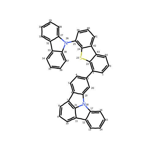 c1cc(-c2ccc3c4cccc5c6ccccc6n(c3c2)c54)c2sc3c(-n4c5ccccc5c5ccccc54)cccc3c2c1